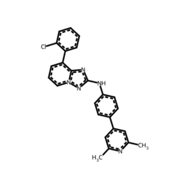 Cc1cc(-c2ccc(Nc3nc4c(-c5ccccc5Cl)cccn4n3)cc2)cc(C)n1